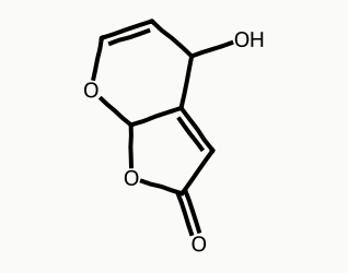 O=C1C=C2C(O)C=COC2O1